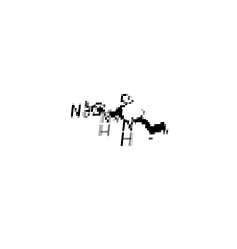 C=CCNC(=S)N[S][Na]